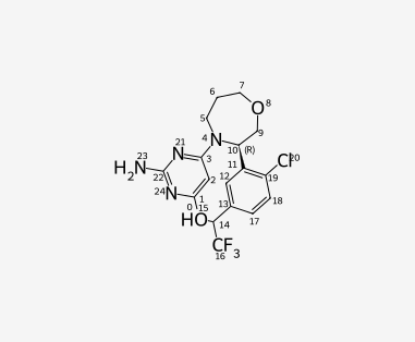 Cc1cc(N2CCCOC[C@H]2c2cc(C(O)C(F)(F)F)ccc2Cl)nc(N)n1